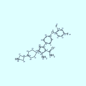 NC(=O)c1c(-c2ccc(Oc3ccc(F)cc3F)cc2)nn(C2CCN(C3CNC3)CC2)c1N